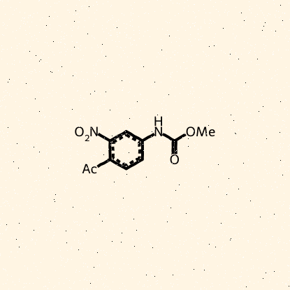 COC(=O)Nc1ccc(C(C)=O)c([N+](=O)[O-])c1